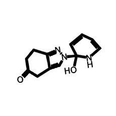 O=C1CCc2nn(C3(O)C=CC=CN3)cc2C1